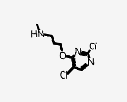 CNCCCOc1nc(Cl)ncc1Cl